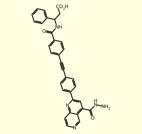 NNC(=O)c1cc(-c2ccc(C#Cc3ccc(C(=O)NC(CC(=O)O)c4ccccc4)cc3)cc2)nc2ccncc12